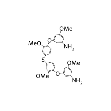 COc1cc(N)cc(Oc2ccc(Sc3ccc(Oc4cc(N)cc(OC)c4)c(OC)c3)cc2OC)c1